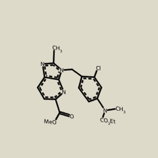 CCOC(=O)N(C)c1ccc(Cn2c(C)nc3ccc(C(=O)OC)nc32)c(Cl)c1